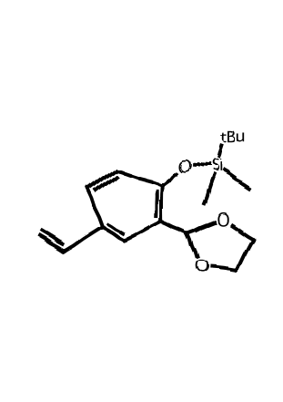 C=Cc1ccc(O[Si](C)(C)C(C)(C)C)c(C2OCCO2)c1